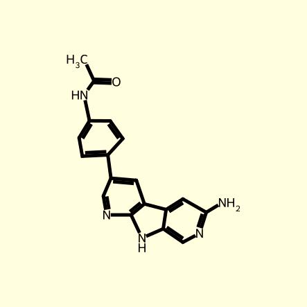 CC(=O)Nc1ccc(-c2cnc3[nH]c4cnc(N)cc4c3c2)cc1